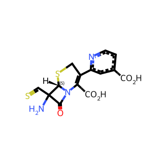 NC1(C=S)C(=O)N2C(C(=O)O)=C(c3cc(C(=O)O)ccn3)CS[C@H]21